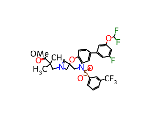 COC(=O)C(C)(C)CN1CC2(C1)CN(S(=O)(=O)c1cccc(C(F)(F)F)c1)c1cc(-c3cc(F)cc(OC(F)F)c3)ccc1O2